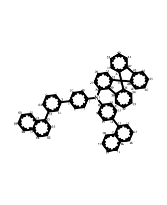 c1cc(-c2ccc(N(c3ccc(-c4cccc5ccccc45)cc3)c3cccc4c3-c3ccccc3C43c4ccccc4-c4ccccc43)cc2)cc(-c2cccc3ccccc23)c1